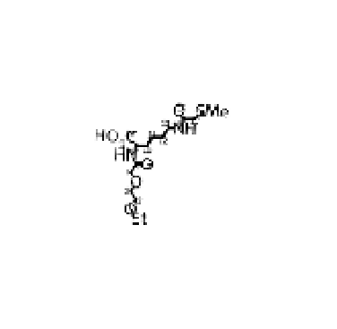 CCOCCOCC(=O)NC(CCCCNC(=O)CSC)C(=O)O